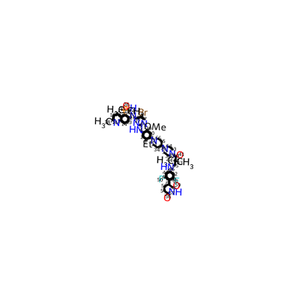 CCc1cc(Nc2ncc(Br)c(Nc3ccc4nc(C)ccc4c3P(C)(C)=O)n2)c(OC)cc1N1CCC(N2CCN(C(=O)C(C)(C)CNc3cc(F)c(C4CCC(=O)NC4=O)c(F)c3)CC2)CC1